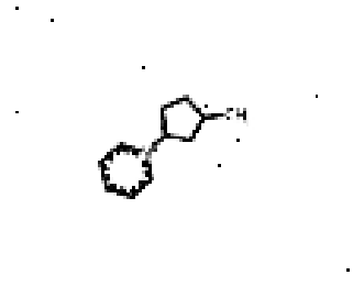 CC1CCC([n+]2ccccc2)C1